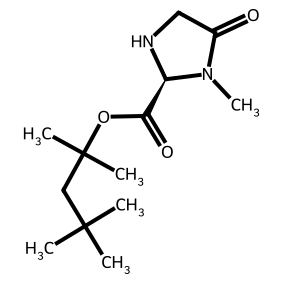 CN1C(=O)CN[C@@H]1C(=O)OC(C)(C)CC(C)(C)C